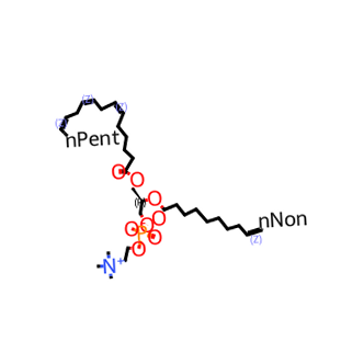 CCCCC/C=C\C/C=C\C/C=C\CCCCC(=O)OC[C@H](COP(=O)([O-])OCC[N+](C)(C)C)OC(=O)CCCCCCC/C=C\CCCCCCCCC